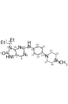 CCC(CC)n1c(=O)[nH]c2cnc(Nc3ccc(N4CCN(C)CC4)cc3)nc21